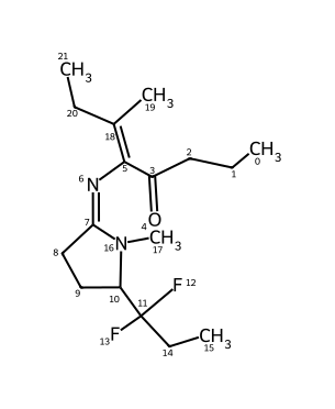 CCCC(=O)C(/N=C1/CCC(C(F)(F)CC)N1C)=C(\C)CC